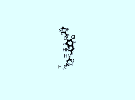 CNCC(=O)NCc1cc2cc(Cl)c(OCc3cscn3)cc2[nH]1